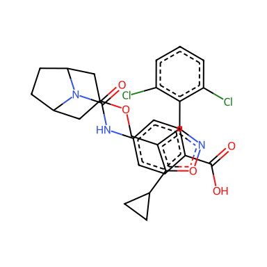 O=C(O)c1ccc(NC(=O)N2C3CCC2CC(OCc2c(-c4c(Cl)cccc4Cl)noc2C2CC2)C3)cc1